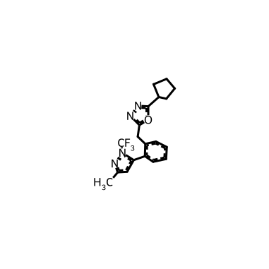 Cc1cc(-c2ccccc2Cc2nnc(C3CCCC3)o2)n(C(F)(F)F)n1